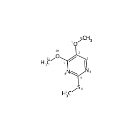 COc1cnc(SC)nc1OC